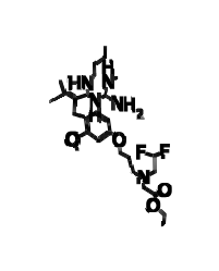 CCCCNC(NC(N)NC)C(Cc1ccc(OCCCN(CC(=O)OCC)CC(F)F)cc1OC)=C(C)C